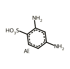 Nc1ccc(S(=O)(=O)O)c(N)c1.[Al]